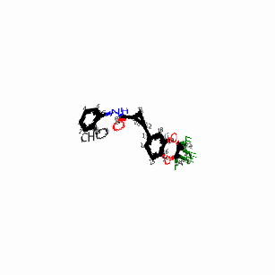 O=Cc1ccccc1NC(=O)C1CC1c1ccc2c(c1)OC(F)(F)C(F)(F)O2